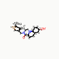 C[C@@H](N(Cc1csc(C(C)(C)C)c1)C(=O)c1ccc2cc(O)ccc2n1)C(C)(C)C